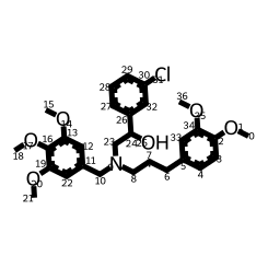 COc1ccc(C[CH]CN(Cc2cc(OC)c(OC)c(OC)c2)CC(O)c2cccc(Cl)c2)cc1OC